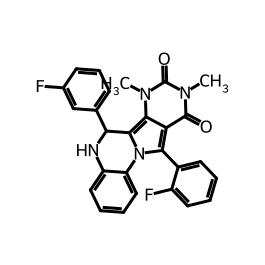 Cn1c(=O)c2c(-c3ccccc3F)n3c(c2n(C)c1=O)C(c1cccc(F)c1)Nc1ccccc1-3